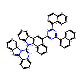 c1ccc2c(-c3nc(-c4cccc5ccccc45)nc(-c4cc5c6ccccc6n(-c6nc7ccccc7c7nc8ccccc8n67)c5c5ccccc45)n3)cccc2c1